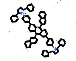 c1ccc(-c2ccc(-c3ccccc3)n2-c2ccc(-c3ccc4c(-c5ccc6ccccc6c5)c5cc(-c6ccc(-n7c(-c8ccccc8)ccc7-c7ccccc7)cc6)ccc5c(-c5ccc6ccccc6c5)c4c3)cc2)cc1